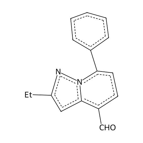 CCc1cc2c(C=O)ccc(-c3ccccc3)n2n1